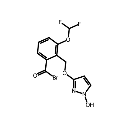 O=C(Br)c1cccc(OC(F)F)c1COc1ccn(O)n1